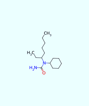 CCCCCC(CC)N(C(N)=O)C1CCCCC1